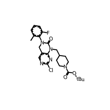 Cc1cccc(F)c1N1Cc2cnc(Cl)nc2N(CC2CCN(C(=O)OC(C)(C)C)CC2)C1=O